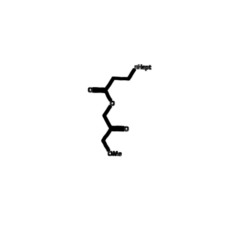 CCCCCCCCCC(=O)OCC(=O)COC